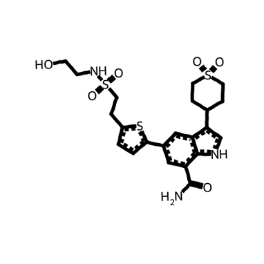 NC(=O)c1cc(-c2ccc(CCS(=O)(=O)NCCO)s2)cc2c(C3CCS(=O)(=O)CC3)c[nH]c12